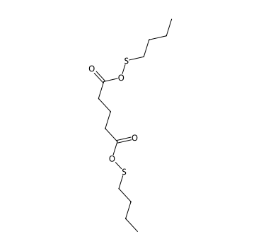 CCCCSOC(=O)CCCC(=O)OSCCCC